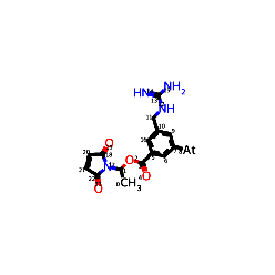 CC(OC(=O)c1cc([At])cc(CNC(=N)N)c1)N1C(=O)C=CC1=O